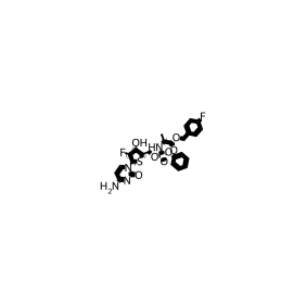 C[C@H](NP(=O)(OC[C@H]1S[C@@H](n2ccc(N)nc2=O)[C@@H](F)[C@@H]1O)Oc1ccccc1)C(=O)OCC1=CCC(F)C=C1